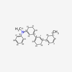 CC1C=CC=C(C2=CC(C3=CCCC(N(C)c4ccccc4)=C3)=CCC2)C1